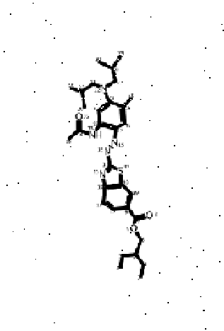 CCC(CC)COC(=O)c1ccc2nc(N=Nc3cc(C)c(N(CC(C)C)CC(C)C)cc3NC(C)=O)sc2c1